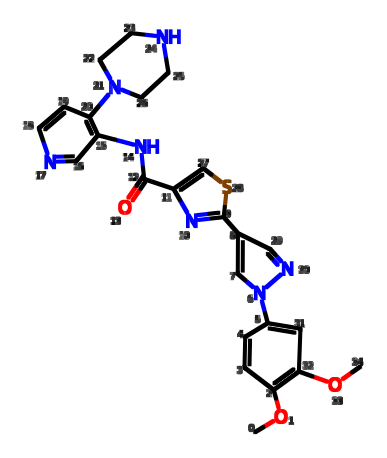 COc1ccc(-n2cc(-c3nc(C(=O)Nc4cnccc4N4CCNCC4)cs3)cn2)cc1OC